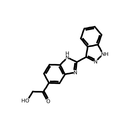 O=C(CO)c1ccc2[nH]c(-c3n[nH]c4ccccc34)nc2c1